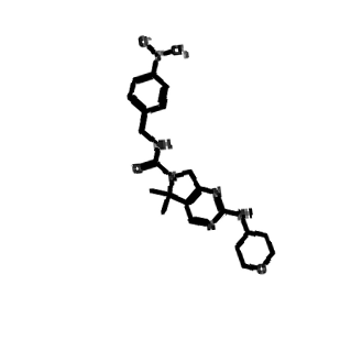 CC1(C)c2cnc(NC3CCOCC3)nc2CN1C(=O)NCc1ccc([S+]([O-])C(F)(F)F)cc1